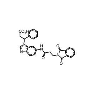 O=C(O)CC(c1ccccc1)n1cnc2ccc(NC(=O)CCN3C(=O)c4ccccc4C3=O)cc21